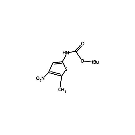 Cc1sc(NC(=O)OC(C)(C)C)cc1[N+](=O)[O-]